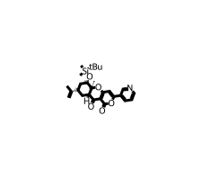 C=C(C)[C@@H]1C[C@H](O[Si](C)(C)C(C)(C)C)[C@@]2(C)Oc3cc(-c4cccnc4)oc(=O)c3C(=O)[C@@H]2C1